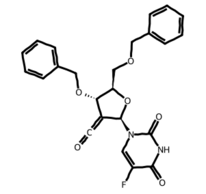 O=C=C1[C@H](n2cc(F)c(=O)[nH]c2=O)O[C@H](COCc2ccccc2)[C@H]1OCc1ccccc1